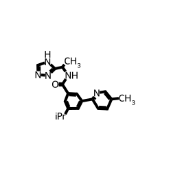 Cc1ccc(-c2cc(C(=O)NC(C)c3nnc[nH]3)cc(C(C)C)c2)nc1